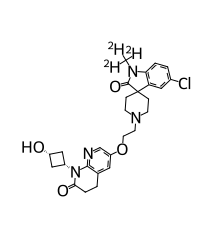 [2H]C([2H])([2H])N1C(=O)C2(CCN(CCOc3cnc4c(c3)CCC(=O)N4[C@H]3C[C@@H](O)C3)CC2)c2cc(Cl)ccc21